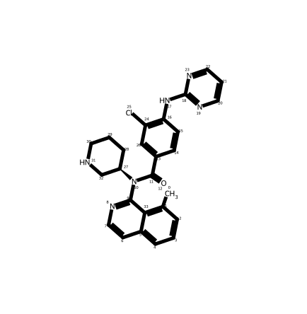 Cc1cccc2ccnc(N(C(=O)c3ccc(Nc4ncccn4)c(Cl)c3)[C@@H]3CCCNC3)c12